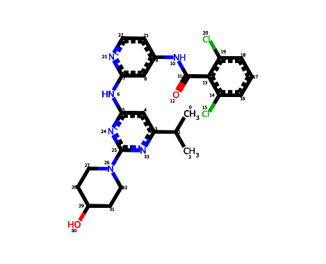 CC(C)c1cc(Nc2cc(NC(=O)c3c(Cl)cccc3Cl)ccn2)nc(N2CCC(O)CC2)n1